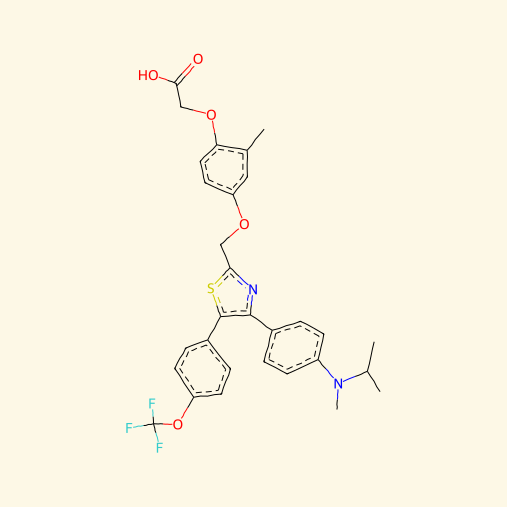 Cc1cc(OCc2nc(-c3ccc(N(C)C(C)C)cc3)c(-c3ccc(OC(F)(F)F)cc3)s2)ccc1OCC(=O)O